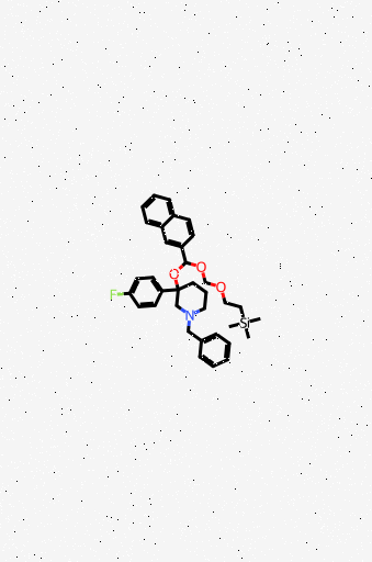 C[Si](C)(C)CCOCOC(OC1(c2ccc(F)cc2)CCCN(Cc2ccccc2)C1)c1ccc2ccccc2c1